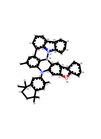 Cc1cc2c3c(c1)N(c1cc4c(cc1C)C(C)(C)CCC4(C)C)c1cc4oc5ccccc5c4cc1B3n1c3ccccc3c3cccc-2c31